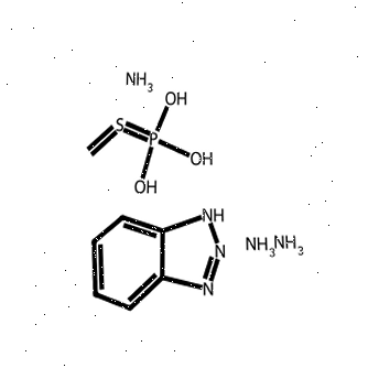 C=S=P(O)(O)O.N.N.N.c1ccc2[nH]nnc2c1